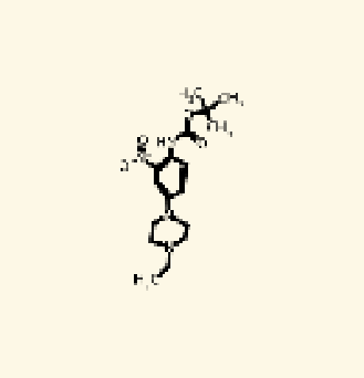 CCN1CCN(c2ccc(NC(=O)OC(C)(C)C)c([N+](=O)[O-])c2)CC1